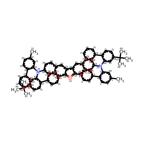 Cc1ccc(-c2ccccc2)c(N(c2ccc3cc4c(cc3c2)oc2cc3cc(N(c5cc(C)ccc5-c5ccccc5)c5cc(C(C)(C)C)ccc5-c5ccccc5)ccc3cc24)c2cc(C(C)(C)C)ccc2-c2ccccc2)c1